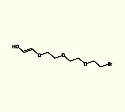 OC=COCCOCCOCCBr